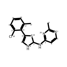 Cc1nccc(NC2NC=C(c3c(C)cccc3Cl)S2)n1